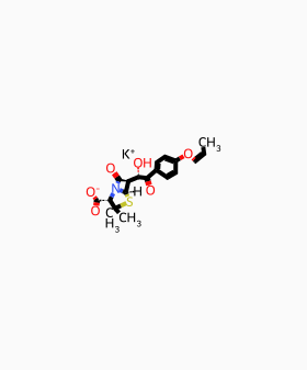 C/C=C\Oc1ccc(C(=O)[C@@H](O)[C@@H]2C(=O)N3[C@@H]2SC(C)(C)[C@@H]3C(=O)[O-])cc1.[K+]